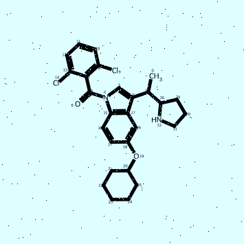 CC(c1cn(C(=O)c2c(Cl)cccc2Cl)c2ccc(OC3CCCCC3)cc12)C1CCCN1